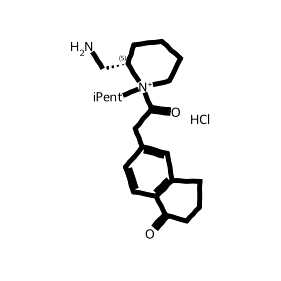 CCCC(C)[N+]1(C(=O)Cc2ccc3c(c2)CCCC3=O)CCCC[C@H]1CN.Cl